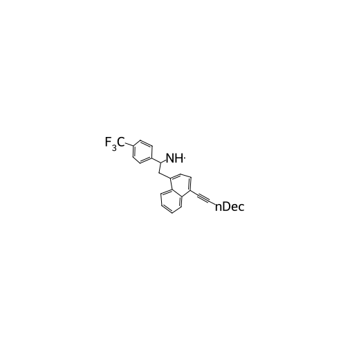 CCCCCCCCCCC#Cc1ccc(CC([NH])c2ccc(C(F)(F)F)cc2)c2ccccc12